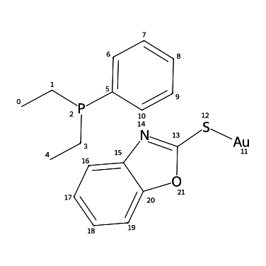 CCP(CC)c1ccccc1.[Au][S]c1nc2ccccc2o1